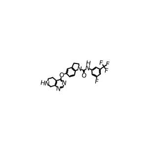 O=C(Nc1cc(F)cc(C(F)(F)F)c1)N1CCc2cc(Oc3ncnc4c3CCNC4)ccc21